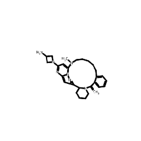 C=C1c2ccccc2CCCCCN(C)c2cc(N3CC(N)C3)nc3cc(nn23)C2CCCCN12